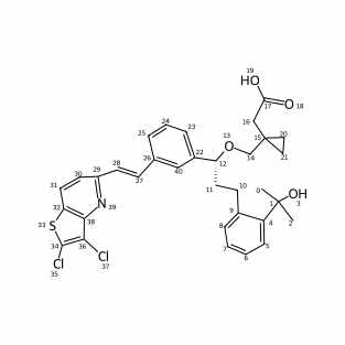 CC(C)(O)c1ccccc1CC[C@@H](OCC1(CC(=O)O)CC1)c1cccc(C=Cc2ccc3sc(Cl)c(Cl)c3n2)c1